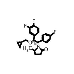 CC1CCC(=O)N1[C@@H](c1ccc(F)cc1)[C@H](OCC1CC1)c1ccc(F)c(F)c1